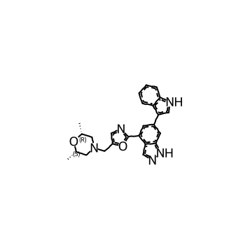 C[C@@H]1CN(Cc2cnc(-c3cc(-c4c[nH]c5ccccc45)cc4[nH]ncc34)o2)C[C@H](C)O1